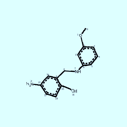 COc1cccc(NCc2cc(N)ccc2O)c1